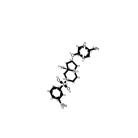 CC(C)c1cnc(O[C@H]2C[C@H]3CN(S(=O)(=O)c4cccc(C(C)(C)C)c4)CCN3C2)cn1